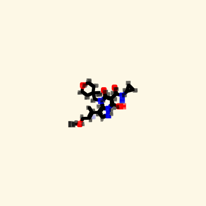 CCOC/C=C(\C)c1cnn2c(O)c(C(=O)NC3CC3)c(=O)n(CC3(C)CCOCC3)c12